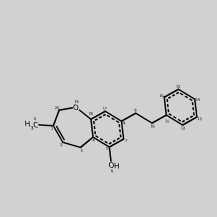 CC1=CCc2c(O)cc(CCc3ccccc3)cc2OC1